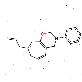 C=CCC1CC=CC2=C(C1)OCN(c1ccccc1)C2